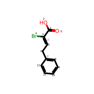 O=C(O)/C(Br)=C/Cc1ccccc1